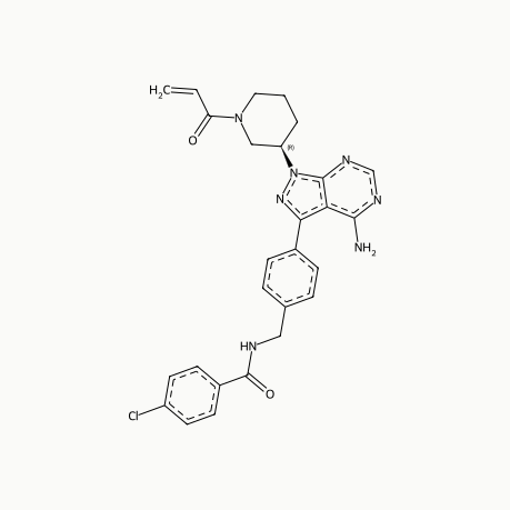 C=CC(=O)N1CCC[C@@H](n2nc(-c3ccc(CNC(=O)c4ccc(Cl)cc4)cc3)c3c(N)ncnc32)C1